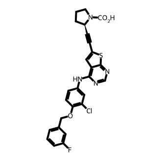 O=C(O)N1CCC[C@@H]1C#Cc1cc2c(Nc3ccc(OCc4cccc(F)c4)c(Cl)c3)ncnc2s1